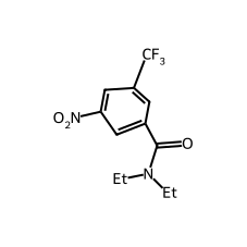 CCN(CC)C(=O)c1cc([N+](=O)[O-])cc(C(F)(F)F)c1